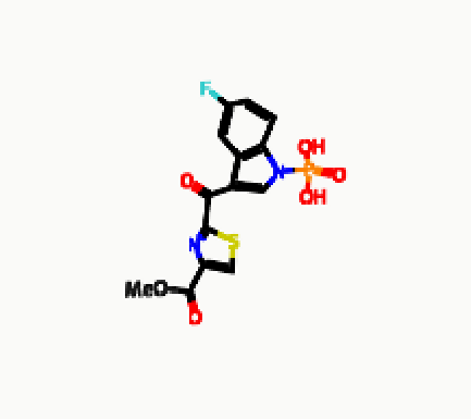 COC(=O)c1csc(C(=O)c2cn(P(=O)(O)O)c3ccc(F)cc23)n1